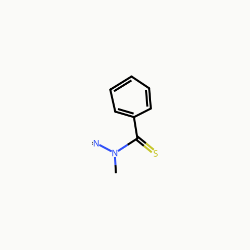 CN([N])C(=S)c1ccccc1